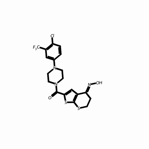 O=C(c1cc2c(s1)SCCC2=NO)N1CCN(c2ccc(Cl)c(C(F)(F)F)c2)CC1